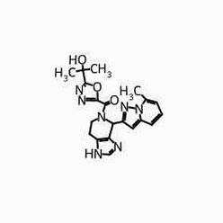 Cc1cccc2cc(C3c4nc[nH]c4CCN3C(=O)c3nnc(C(C)(C)O)o3)nn12